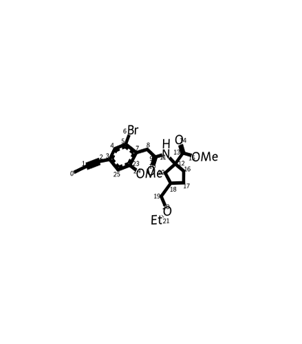 CC#Cc1cc(Br)c(CC(=O)NC2(C(=O)OC)CCC(COCC)C2)c(OC)c1